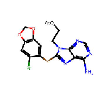 CC(=O)OCCn1c(Sc2cc3c(cc2Br)OCO3)nc2c(N)ncnc21